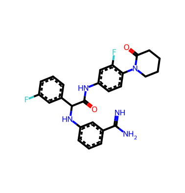 N=C(N)c1cccc(NC(C(=O)Nc2ccc(N3CCCCC3=O)c(F)c2)c2cccc(F)c2)c1